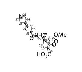 COC(=O)C[C@H]1C(=O)N(CC(=O)O)CCN1C(=O)CNC(=O)C1CCN(c2ccncc2)CC1